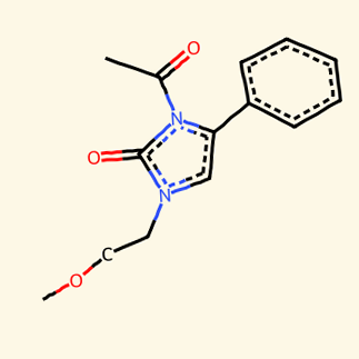 COCCn1cc(-c2ccccc2)n(C(C)=O)c1=O